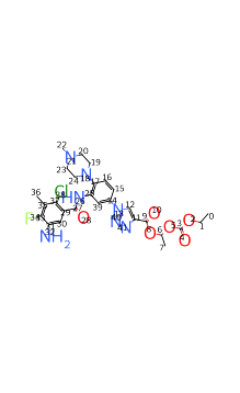 CCOC(=O)OC(C)OC(=O)c1cn(-c2ccc(N3CCN(C)CC3)c(NC(=O)c3cc(N)c(F)c(C)c3Cl)c2)nn1